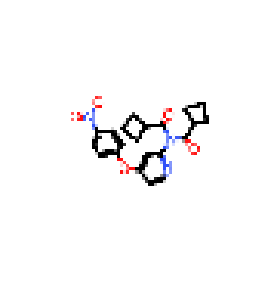 O=C(C1CCC1)N(C(=O)C1CCC1)c1cc(Oc2ccc([N+](=O)[O-])cc2)ccn1